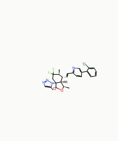 Cc1cnnn1[C@@]12CC(F)(F)[C@@H](C)[C@H](/C=C/c3ccc(-c4ccccc4Cl)cn3)[C@@H]1[C@@H](C)OC2=O